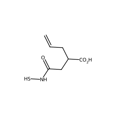 C=CCC(CC(=O)NS)C(=O)O